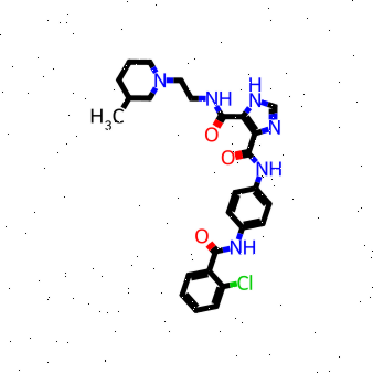 CC1CCCN(CCNC(=O)c2[nH]cnc2C(=O)Nc2ccc(NC(=O)c3ccccc3Cl)cc2)C1